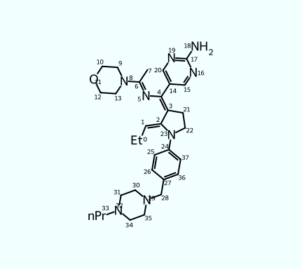 CC/C=C1/C(=C(\N=C(/C)N2CCOCC2)c2cnc(N)nc2)CCN1c1ccc(CN2CCN(CCC)CC2)cc1